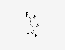 F[C](F)C(F)CC(F)F